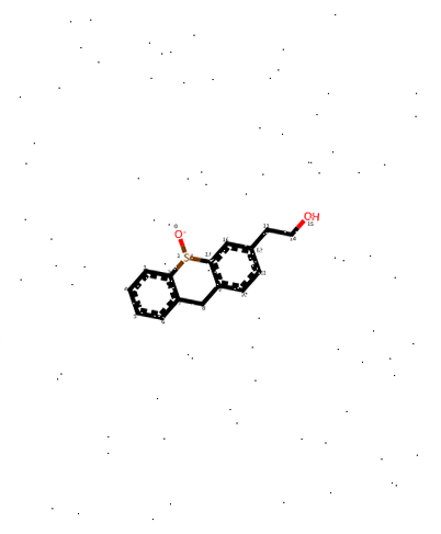 [O-][S+]1c2ccccc2Cc2ccc(CCO)cc21